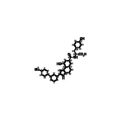 CC(C)(C)c1ccc(-c2cccc(-c3nc4c(ccc5cc(C(=O)NC(Cc6ccc(O)cc6)C(=O)O)cc(O)c54)[nH]3)c2)cc1